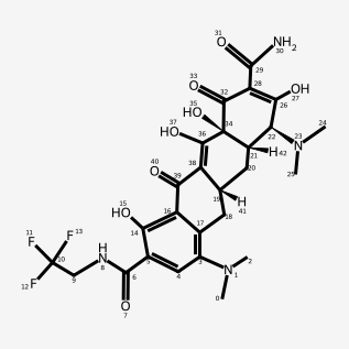 CN(C)c1cc(C(=O)NCC(F)(F)F)c(O)c2c1C[C@H]1C[C@H]3[C@H](N(C)C)C(O)=C(C(N)=O)C(=O)[C@@]3(O)C(O)=C1C2=O